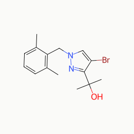 Cc1cccc(C)c1Cn1cc(Br)c(C(C)(C)O)n1